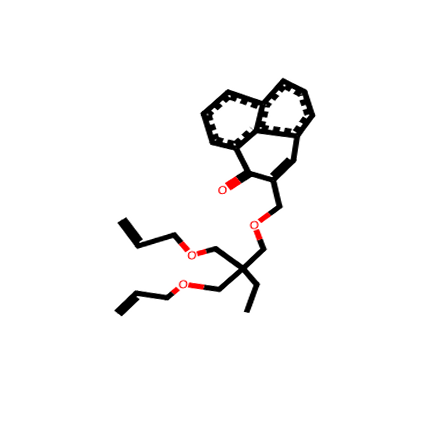 C=CCOCC(CC)(COCC=C)COCC1=Cc2cccc3cccc(c23)C1=O